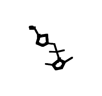 Cc1ccc(C)n1C(C)(C)Cc1ccn(C(C)(C)C)c1